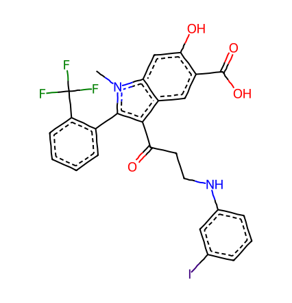 Cn1c(-c2ccccc2C(F)(F)F)c(C(=O)CCNc2cccc(I)c2)c2cc(C(=O)O)c(O)cc21